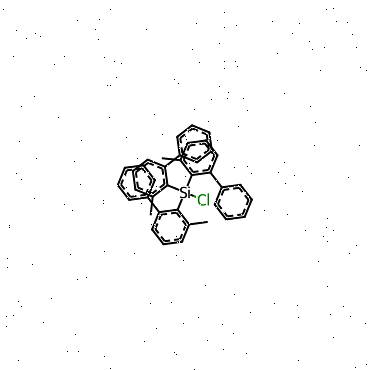 Cc1cccc(-c2ccccc2)c1[Si](Cl)(c1c(C)cccc1-c1ccccc1)c1c(C)cccc1-c1ccccc1